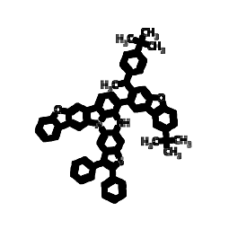 CC(c1ccc(C(C)(C)C)cc1)c1cc2oc3ccc(C(C)(C)C)cc3c2cc1-c1ccc2c3cc4oc5ccccc5c4cc3n3c2c1Bc1cc2sc(-c4ccccc4)c(-c4ccccc4)c2cc1-3